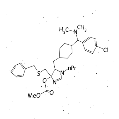 CCCN1C=NC(CSCc2ccccc2)(OC(=O)OC)C1CC1CCC(C(c2ccc(Cl)cc2)N(C)C)CC1